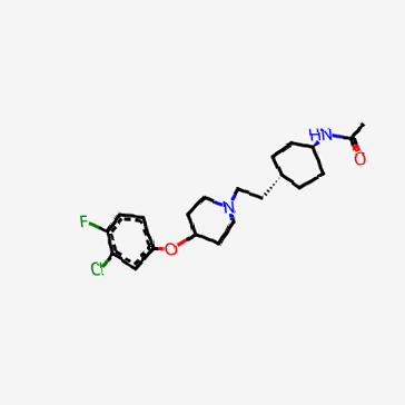 CC(=O)N[C@H]1CC[C@H](CCN2CCC(Oc3ccc(F)c(Cl)c3)CC2)CC1